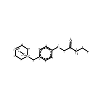 CCNC(=O)COc1ccc(C[N+]23CCN(CC2)CC3)cc1